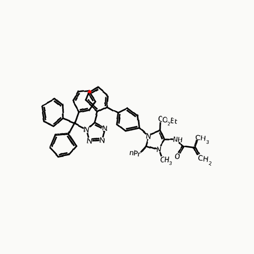 C=C(C)C(=O)NC1=C(C(=O)OCC)N(c2ccc(-c3ccccc3-c3nnnn3C(c3ccccc3)(c3ccccc3)c3ccccc3)cc2)C(CCC)N1C